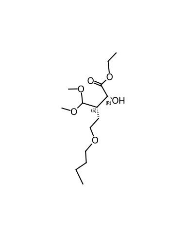 CCCCOCC[C@H](C(OC)OC)[C@@H](O)C(=O)OCC